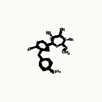 CSC1OC(c2ccc(Cl)c(Cc3ccc(C)cc3)c2)[C@H](O)C(O)[C@@H]1O